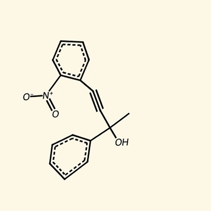 CC(O)(C#Cc1ccccc1[N+](=O)[O-])c1ccccc1